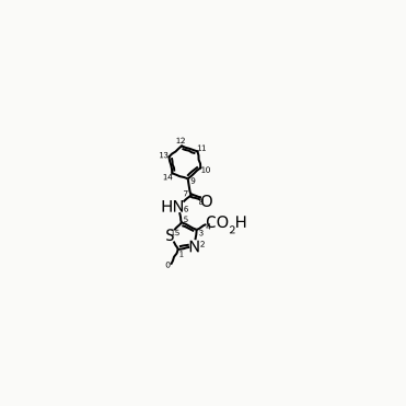 Cc1nc(C(=O)O)c(NC(=O)c2ccccc2)s1